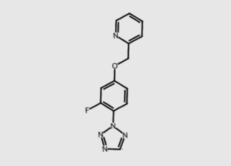 Fc1cc(OCc2ccccn2)ccc1-n1n[c]nn1